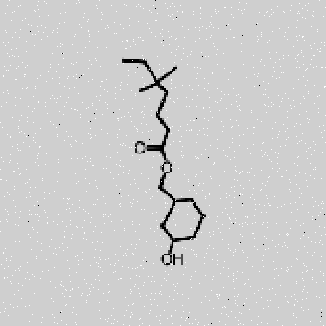 CCC(C)(C)CCCC(=O)OCC1CCCC(O)C1